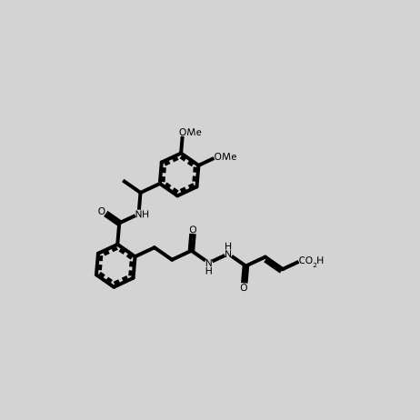 COc1ccc(C(C)NC(=O)c2ccccc2CCC(=O)NNC(=O)C=CC(=O)O)cc1OC